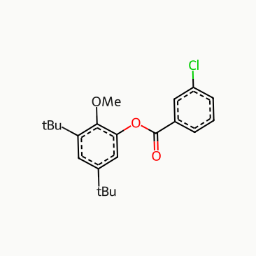 COc1c(OC(=O)c2cccc(Cl)c2)cc(C(C)(C)C)cc1C(C)(C)C